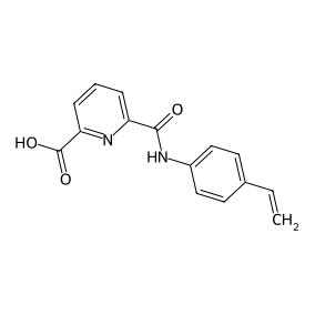 C=Cc1ccc(NC(=O)c2cccc(C(=O)O)n2)cc1